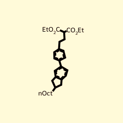 CCCCCCCCC1Cc2ccc(-c3ccc(CCC(C(=O)OCC)C(=O)OCC)cc3)cc2C1